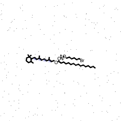 CCCCCCCCCCCCCCCC(OC/C=C(C)/C=C/C=C(C)/C=C/C1=C(C)CCCC1(C)C)O[Si](C)(C)OCCCCCCBr